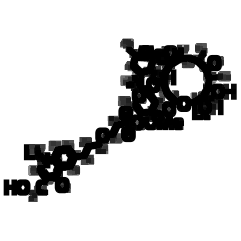 CC[C@H]1OC(=O)[C@H](C)[C@@H](O[C@H]2C[C@@](C)(OC)[C@@H](OS(=O)(=O)CCOCCCc3ccc4c(c3)c(=O)c(C(=O)O)cn4CC)[C@H](C)O2)[C@H](C)[C@@H](O[C@@H]2O[C@H](C)C[C@H](N(C)C)[C@H]2O)[C@](C)(OC)C[C@@H](C)C(=O)[C@@H](C)[C@@H](O)[C@]1(C)O